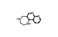 c1cnc2ncc3c(c2c1)NCCNC3